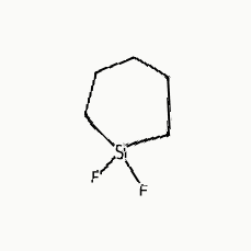 F[Si]1(F)CCCCC1